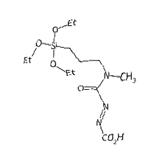 CCO[Si](CCCN(C)C(=O)N=NC(=O)O)(OCC)OCC